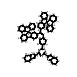 C(=C(c1ccc2c(c1)C1(c3ccccc3-c3ccccc31)c1ccccc1-2)c1ccc2c(c1)C1(c3ccccc3-c3ccccc31)c1ccccc1-2)c1ccc(-c2nc(-c3cc4ccccc4s3)nc(-c3cc4ccccc4s3)n2)cc1